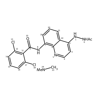 CC(=O)NNc1ccnc2c(NC(=O)c3c(Cl)cccc3Cl)cccc12.CNC